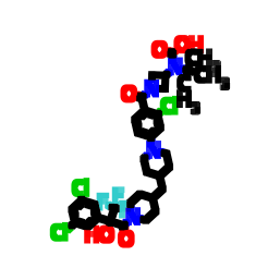 CC(C)(C)N(C(=O)O)C1CN(C(=O)c2ccc(N3CCC(CC4CCN(C(=O)C(O)(c5cc(Cl)cc(Cl)c5)C(F)(F)F)CC4)CC3)cc2Cl)C1